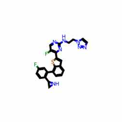 Fc1ccc(C2CN2)c(-c2cccc3cc(-c4nc(NCCn5ccnn5)ncc4F)sc23)c1